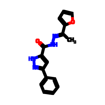 C/C(=N\NC(=O)c1cc(-c2ccccc2)n[nH]1)c1ccco1